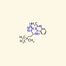 Cc1nc(NC(CCC(C)(C)C)c2nn[nH]n2)c2ccccc2n1